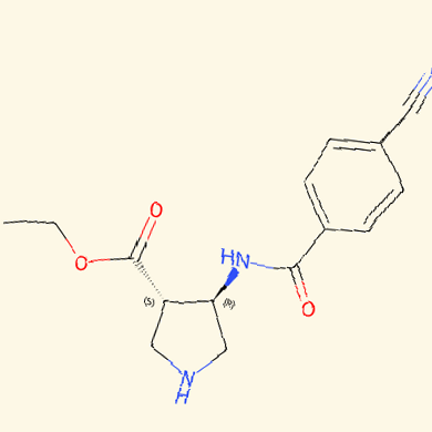 CCOC(=O)[C@H]1CNC[C@@H]1NC(=O)c1ccc(C#N)cc1